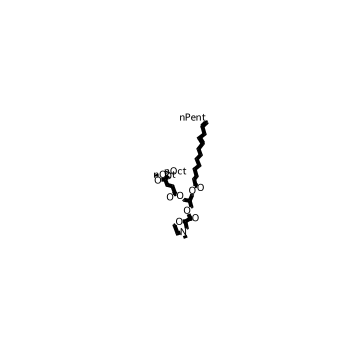 CCCCCC=CCC=CCCCCCCCC(=O)OCC(COC(=O)CCC(OCCCCCCCC)OCCCCCCCC)COC(=O)C1CN(C)CCO1